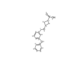 O=C(O)C1CC(OCc2cccc(Oc3ccccc3)c2)C1